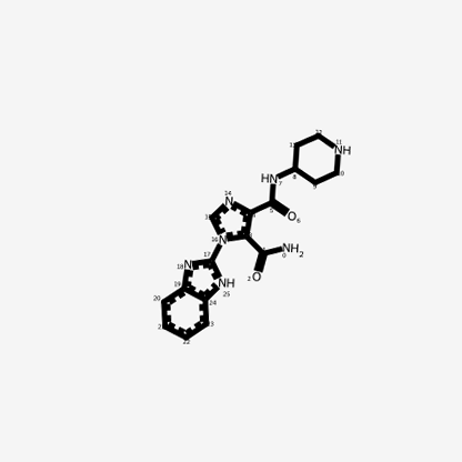 NC(=O)c1c(C(=O)NC2CCNCC2)ncn1-c1nc2ccccc2[nH]1